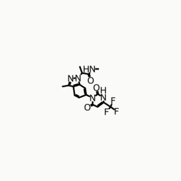 CNC(=O)C(C)n1nc(C)c2ccc(-n3c(=O)cc(C(F)(F)F)[nH]c3=O)cc21